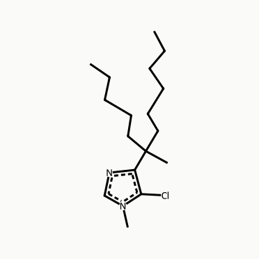 CCCCCCC(C)(CCCCC)c1ncn(C)c1Cl